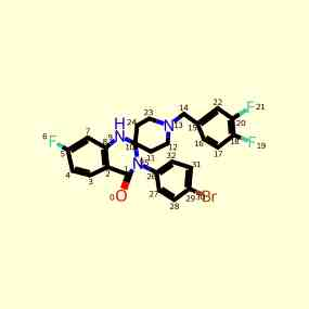 O=C1c2ccc(F)cc2NC2(CCN(Cc3ccc(F)c(F)c3)CC2)N1c1ccc(Br)cc1